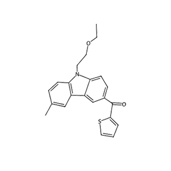 CCOCCn1c2ccc(C)cc2c2cc(C(=O)c3cccs3)ccc21